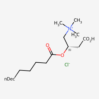 CCCCCCCCCCCCCCC(=O)O[C@@H](CC(=O)O)C[N+](C)(C)C.[Cl-]